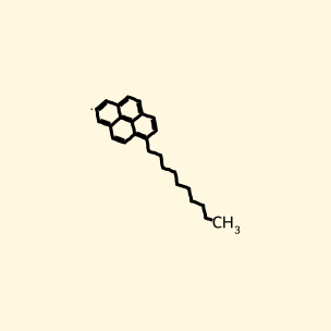 CCCCCCCCCCc1ccc2ccc3c[c]cc4ccc1c2c34